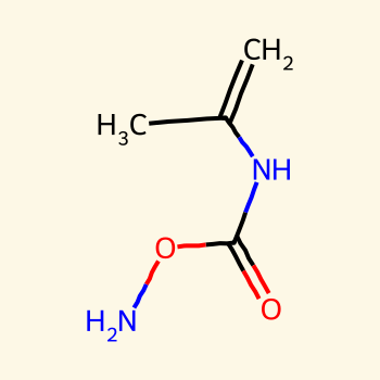 C=C(C)NC(=O)ON